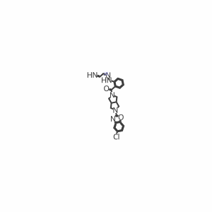 N=C/C=N\Nc1ccccc1C(=O)N1CC2CN(c3nc4cc(Cl)ccc4o3)CC2C1